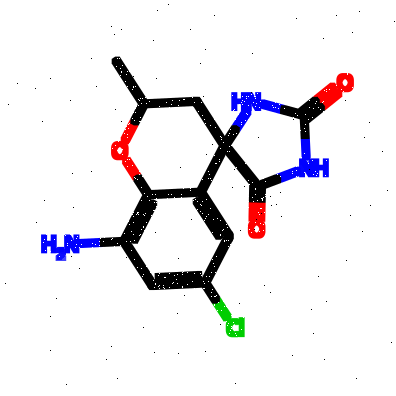 CC1CC2(NC(=O)NC2=O)c2cc(Cl)cc(N)c2O1